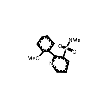 CNS(=O)(=O)c1cccnc1-c1ccccc1OC